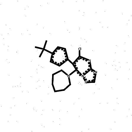 CC(C)(C)c1ccc(-c2c(Cl)nc3ncnn3c2N2CCCCCC2)cc1